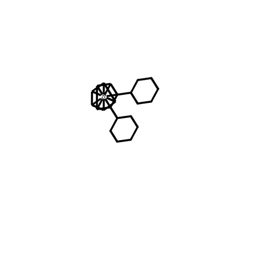 C1CCC([C]23[CH]4[CH]5[CH]6[C]2(C2CCCCC2)[Zr]54632789[CH]3[CH]2[CH]7[CH]8[CH]39)CC1